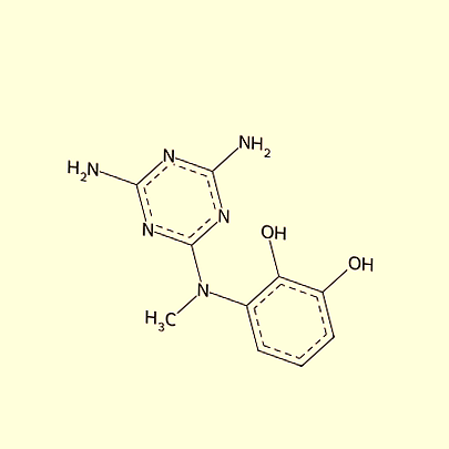 CN(c1nc(N)nc(N)n1)c1cccc(O)c1O